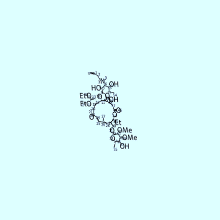 C#CCCN(C)[C@H]1[C@@H](O)[C@H](O[C@H]2[C@@H](CC(OCC)OCC)C[C@@H](C)C(=O)/C=C/C(C)=C/[C@H](COC3O[C@H](C)[C@@H](O)[C@@H](OC)[C@H]3OC)[C@@H](CC)OC(=O)C[C@@H](O)[C@@H]2C)O[C@H](C)[C@H]1O